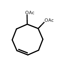 CC(=O)OC1CCC=CCCC1OC(C)=O